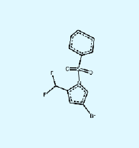 O=S(=O)(c1ccccc1)n1cc(Br)cc1C(F)F